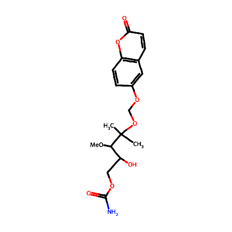 COC(C(O)COC(N)=O)C(C)(C)OCOc1ccc2oc(=O)ccc2c1